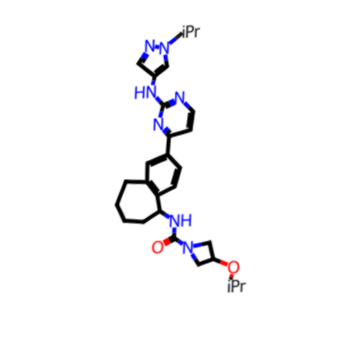 CC(C)OC1CN(C(=O)NC2CCCCc3cc(-c4ccnc(Nc5cnn(C(C)C)c5)n4)ccc32)C1